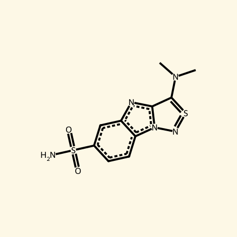 CN(C)C1=S=Nn2c1nc1cc(S(N)(=O)=O)ccc12